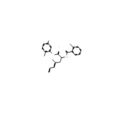 C=C/C=C(\C)CC(NC(=O)c1ccccc1C)C(=O)Nc1cc(F)ccc1C